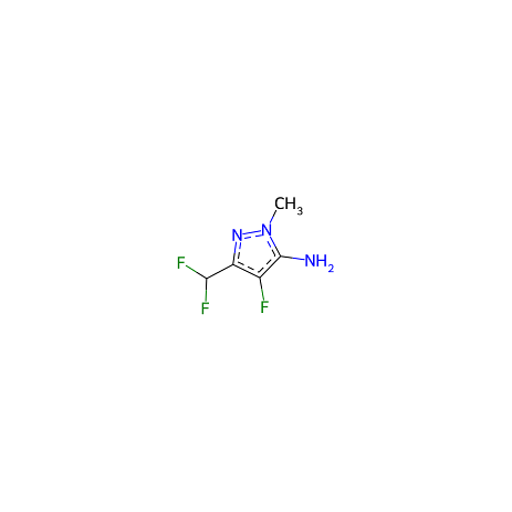 Cn1nc(C(F)F)c(F)c1N